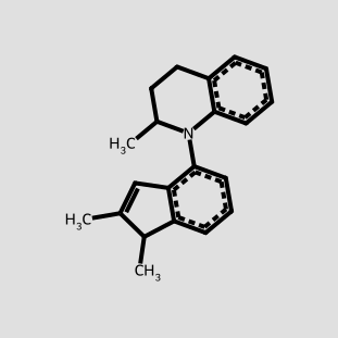 CC1=Cc2c(cccc2N2c3ccccc3CCC2C)C1C